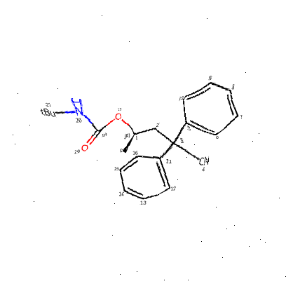 C[C@H](CC(C#N)(c1ccccc1)c1ccccc1)OC(=O)NC(C)(C)C